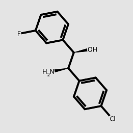 N[C@H](c1ccc(Cl)cc1)[C@H](O)c1cccc(F)c1